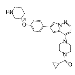 O=C(C1CC1)N1CCN(c2ccnn3cc(-c4ccc(O[C@H]5CCCNC5)cc4)cc23)CC1